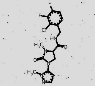 CN1C(=O)N(c2ccnn2C)CC1C(=O)NCc1ccc(F)c(F)c1Cl